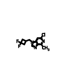 Cc1nc(Cl)cc2c1ncn2CC1CC(F)(F)C1